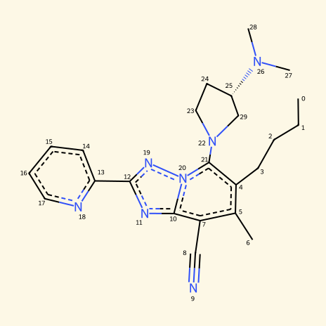 CCCCc1c(C)c(C#N)c2nc(-c3ccccn3)nn2c1N1CC[C@H](N(C)C)C1